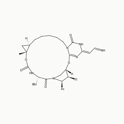 CC[C@@H]1[C@@H]2CN(C(=O)[C@H](C(C)(C)C)NC(=O)O[C@]3(C)C[C@H]3CCCCCN3C(=O)N/C(=C\C=N)N=C3O2)[C@@H]1C(C)=O